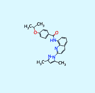 Cc1cc(C)n(-c2ccc3cccc(NC(=O)c4ccc(OC(C)C)cc4)c3n2)n1